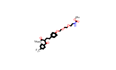 COC(=O)C(CCc1ccc(OCCOCCOCCNC(=O)OC(C)(C)C)cc1)C(=O)c1ccc(C(F)(F)F)cc1